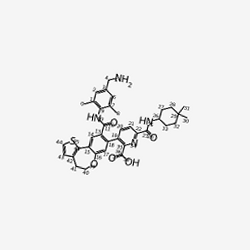 Cc1cc(CN)cc(C)c1NC(=O)c1cc2c(cc1-c1ccc(C(=O)NC3CCC(C)(C)CC3)nc1C(=O)O)OCCc1ccsc1-2